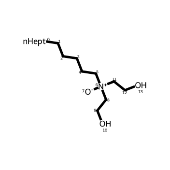 CCCCCCCCCCCC[N+]([O-])(CCO)CCO